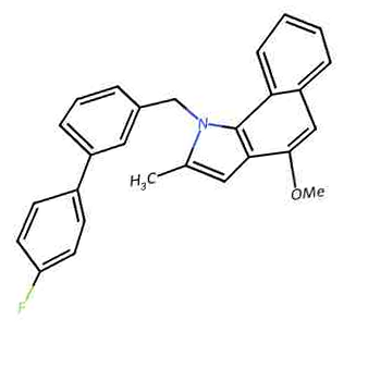 COc1cc2ccccc2c2c1cc(C)n2Cc1cccc(-c2ccc(F)cc2)c1